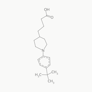 CC(C)(C)c1ccc(N2CCC(CCCC(=O)O)CC2)cc1